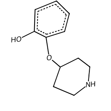 Oc1ccccc1OC1CCNCC1